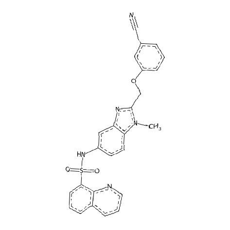 Cn1c(COc2cccc(C#N)c2)nc2cc(NS(=O)(=O)c3cccc4cccnc34)ccc21